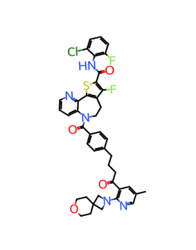 Cc1cnc(N2CC3(CCOCC3)C2)c(C(=O)CCCc2ccc(C(=O)N3CCc4c(sc(C(=O)Nc5c(F)cccc5Cl)c4F)-c4ncccc43)cc2)c1